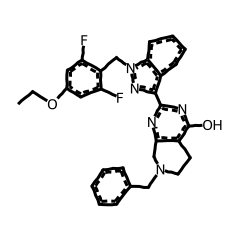 CCOc1cc(F)c(Cn2nc(-c3nc(O)c4c(n3)CN(Cc3ccccc3)CC4)c3ccccc32)c(F)c1